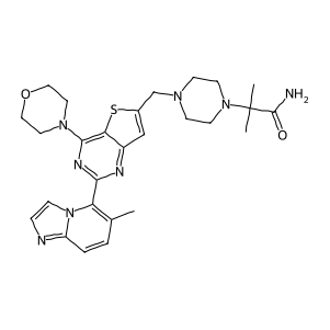 Cc1ccc2nccn2c1-c1nc(N2CCOCC2)c2sc(CN3CCN(C(C)(C)C(N)=O)CC3)cc2n1